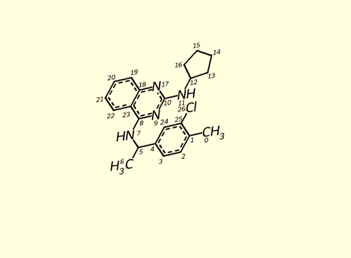 Cc1ccc(C(C)Nc2nc(NC3CCCC3)nc3ccccc23)cc1Cl